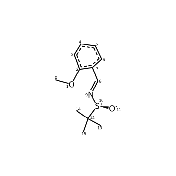 COc1ccccc1C=N[S@@+]([O-])C(C)(C)C